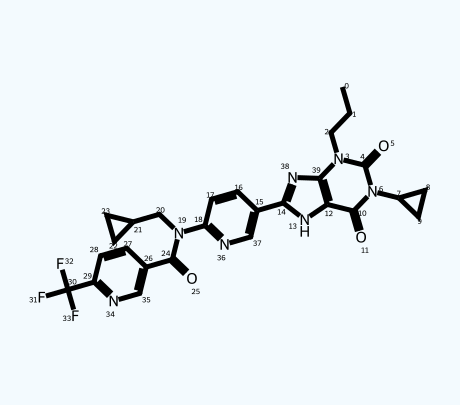 CCCn1c(=O)n(C2CC2)c(=O)c2[nH]c(-c3ccc(N(CC4CC4)C(=O)c4ccc(C(F)(F)F)nc4)nc3)nc21